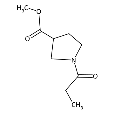 CCC(=O)N1CCC(C(=O)OC)C1